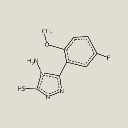 COc1ccc(F)cc1-c1nnc(S)n1N